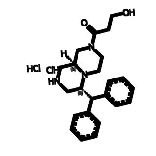 Cl.Cl.O=C(CCO)N1CCN2[C@@H](CNC[C@H]2C(c2ccccc2)c2ccccc2)C1